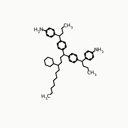 CCCCCCCCC(CCC(c1ccc(C(CCC)c2ccc(N)cc2)cc1)c1ccc(C(CCC)c2ccc(N)cc2)cc1)C1CCCCC1